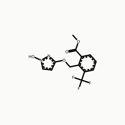 COC(=O)c1cccc(C(F)(F)F)c1COc1ccn(O)n1